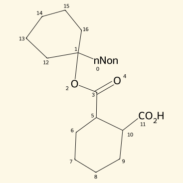 CCCCCCCCCC1(OC(=O)C2CCCCC2C(=O)O)CCCCC1